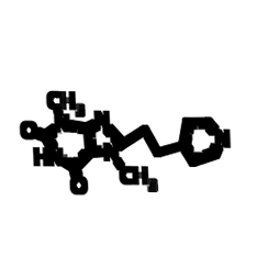 Cn1c(CCc2ccncc2)nc2c1c(=O)[nH]c(=O)n2C